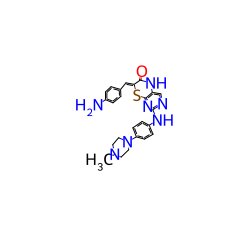 CN1CCN(c2ccc(Nc3ncc4c(n3)S/C(=C\c3ccc(N)cc3)C(=O)N4)cc2)CC1